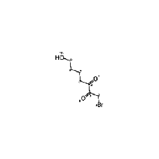 O=C(CBr)C(=O)CCCCO